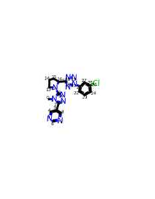 Cn1c(-c2cncnc2)nnc1N1CCCC1c1nnn(-c2cccc(Cl)c2)n1